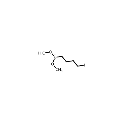 CO[SiH](CCCCI)OC